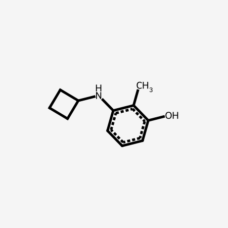 Cc1c(O)cccc1NC1CCC1